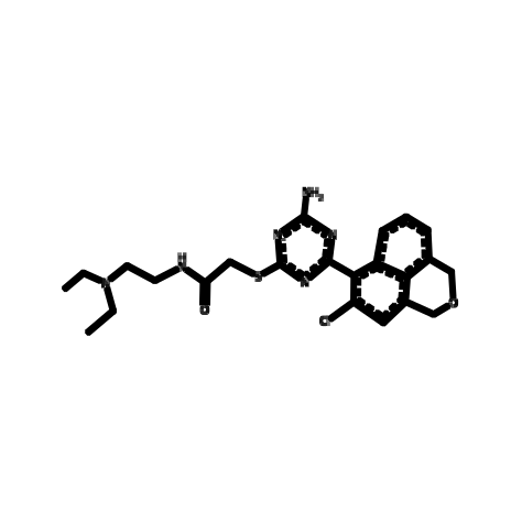 CCN(CC)CCNC(=O)CSc1nc(N)nc(-c2c(Cl)cc3c4c(cccc24)COC3)n1